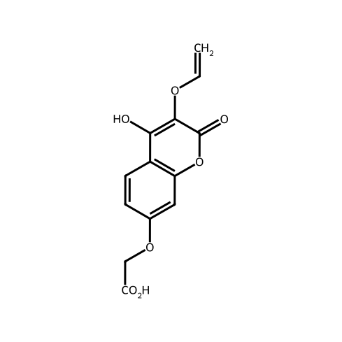 C=COc1c(O)c2ccc(OCC(=O)O)cc2oc1=O